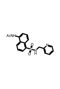 CC(=O)Nc1cccc2c(S(=O)(=O)NCc3ccccn3)cccc12